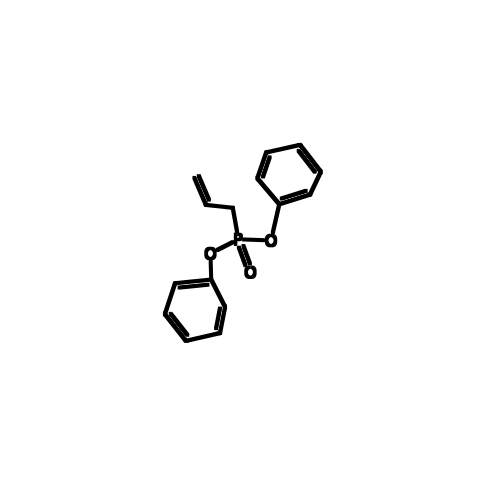 C=CCP(=O)(Oc1ccccc1)Oc1ccccc1